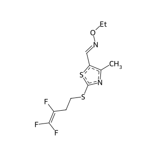 CCON=Cc1sc(SCCC(F)=C(F)F)nc1C